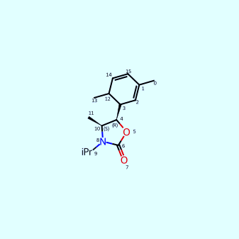 CC1=CC([C@H]2OC(=O)N(C(C)C)[C@H]2C)C(C)C=C1